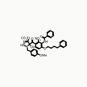 CCOC(=O)C1=NNN(Cc2ccc(OC)cc2)C1(O)C(=O)c1ccc(OCCCCc2ccccc2)c(NC(=O)c2ccccc2)c1[N+](=O)[O-]